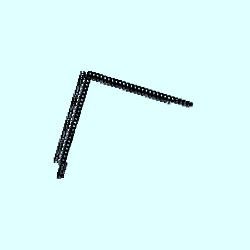 O.O.O.O.O.O.O.O.O.O.O.O.O.O.O.O.O.O.O.O.O.O.O.O.O.O.O.O.O.O.O.O.O.O.O.O.O.O.O.O.O.O.O.O.O.O.[Fe].[Fe].[Fe].[Fe].[Fe].[Fe].[Fe].[Fe]